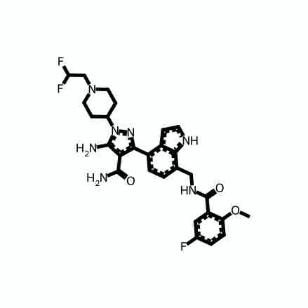 COc1ccc(F)cc1C(=O)NCc1ccc(-c2nn(C3CCN(CC(F)F)CC3)c(N)c2C(N)=O)c2cc[nH]c12